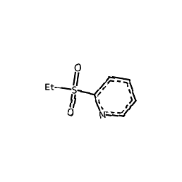 CCS(=O)(=O)c1ccccn1